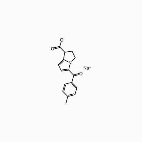 Cc1ccc(C(=O)c2ccc3n2CCC3C(=O)[O-])cc1.[Na+]